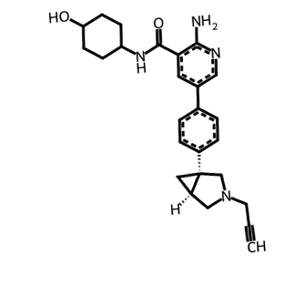 C#CCN1C[C@H]2C[C@@]2(c2ccc(-c3cnc(N)c(C(=O)NC4CCC(O)CC4)c3)cc2)C1